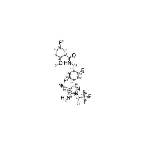 COc1ccc(F)cc1C(=O)NCc1cc(F)c(-c2nn(C(C)C(F)(F)F)c(N)c2C#N)cc1F